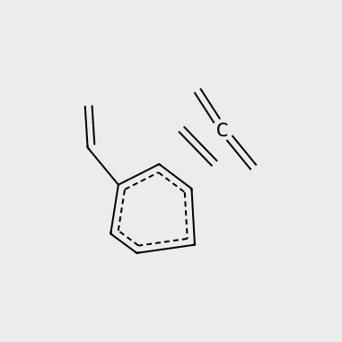 C=C.C=C=C.C=Cc1ccccc1